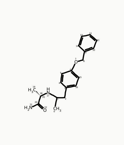 CC(Cc1ccc(OCc2ccccc2)cc1)N[C@@H](C)C(N)=O